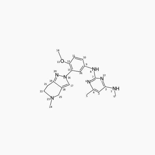 CNc1cc(C)nc(Nc2ccc(OC)c(-n3cc4c(n3)CCN(C)C4)c2)n1